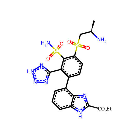 CCOC(=O)c1nc2c(-c3ccc(S(=O)(=O)C[C@@H](C)N)c(S(N)(=O)=O)c3-c3nn[nH]n3)cccc2[nH]1